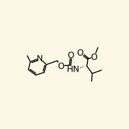 COC(=O)[C@@H](NC(=O)OCc1cccc(C)n1)C(C)C